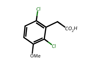 COc1ccc(Cl)c(CC(=O)O)c1Cl